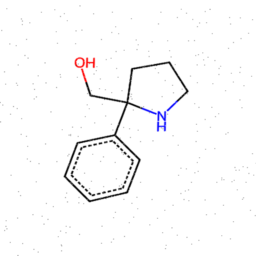 OCC1(c2ccccc2)CCCN1